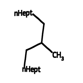 CCCCC[CH]CCC(C)CCCCCCCC